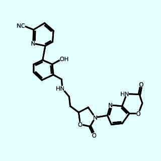 N#Cc1cccc(-c2cccc(CNCCC3CN(c4ccc5c(n4)NC(=O)CO5)C(=O)O3)c2O)n1